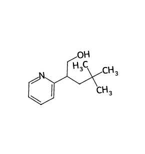 CC(C)(C)CC(CO)c1ccccn1